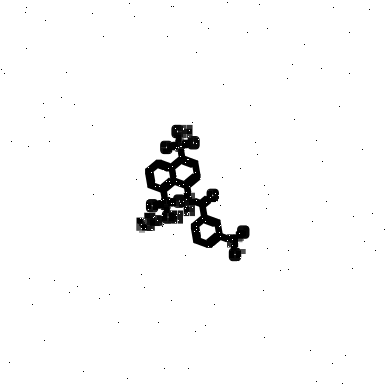 O=C(Nc1ccc(S(=O)(=O)O)c2cccc(S(=O)(=O)O)c12)c1cccc([N+](=O)[O-])c1.[Na].[Na]